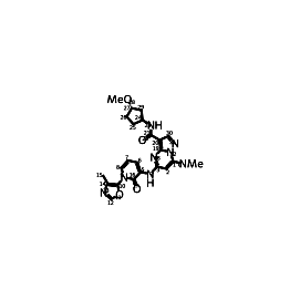 CNc1cc(Nc2cccn(-c3ocnc3C)c2=O)nc2c(C(=O)NC3CC[C@H](OC)C3)cnn12